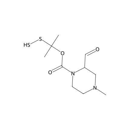 CN1CCN(C(=O)OC(C)(C)SS)C(C=O)C1